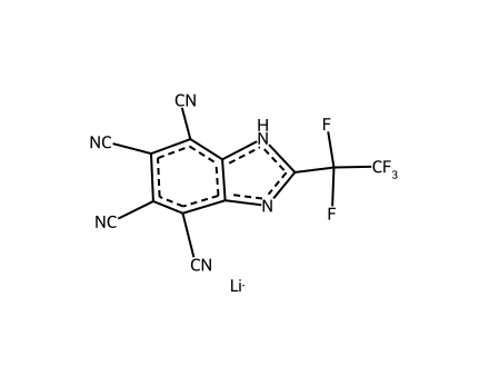 N#Cc1c(C#N)c(C#N)c2[nH]c(C(F)(F)C(F)(F)F)nc2c1C#N.[Li]